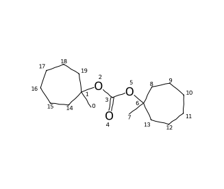 CC1(OC(=O)OC2(C)CCCCCC2)CCCCCC1